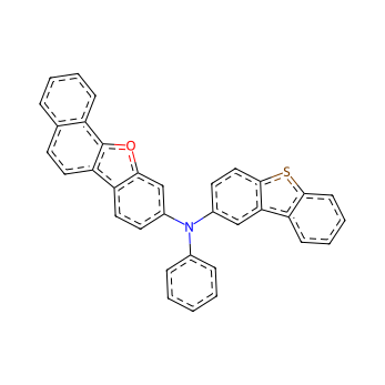 c1ccc(N(c2ccc3c(c2)oc2c4ccccc4ccc32)c2ccc3sc4ccccc4c3c2)cc1